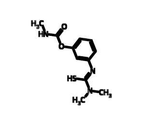 CNC(=O)Oc1cccc(N=C(S)N(C)C)c1